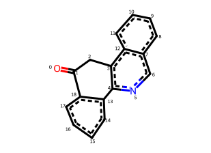 O=C1Cc2c(ncc3ccccc23)-c2ccccc21